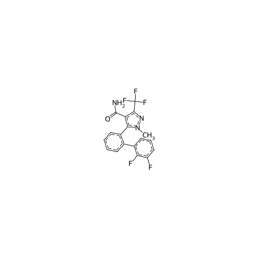 Cn1nc(C(F)(F)F)c(C(N)=O)c1-c1ccccc1-c1cccc(F)c1F